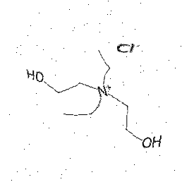 CC[N+](CC)(CCO)CCO.[Cl-]